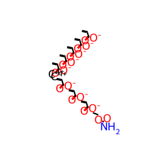 C=CC(=O)[O-].C=CC(=O)[O-].C=CC(=O)[O-].C=CC(=O)[O-].C=CC(=O)[O-].C=CC(=O)[O-].C=CC(=O)[O-].C=CC(=O)[O-].CCOC(N)=O.[C+4].[C+4]